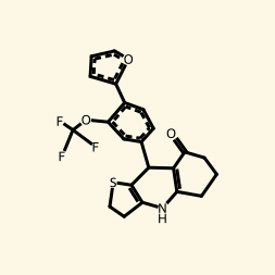 O=C1CCCC2=C1C(c1ccc(-c3ccco3)c(OC(F)(F)F)c1)C1=C(CCS1)N2